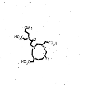 CCN1CCN(CC(=O)O)CCN(CC(=O)N(CCOC)CC(=O)O)CCN(CC(=O)O)CC1